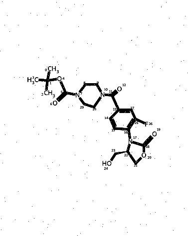 CC(C)(C)OC(=O)N1CCN(C(=O)c2ccc(N3C(=O)OC[C@H]3CO)c(F)c2)CC1